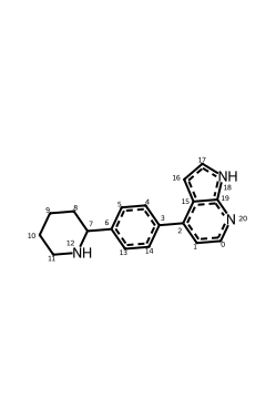 c1cc(-c2ccc(C3CCCCN3)cc2)c2cc[nH]c2n1